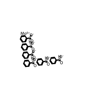 O=[PH]([O-])c1ccccc1.O=[PH]([O-])c1ccccc1.O=[PH]([O-])c1ccccc1.O=[PH]([O-])c1ccccc1.O=[PH]([O-])c1ccccc1.O=[PH]([O-])c1ccccc1.[Mo+6]